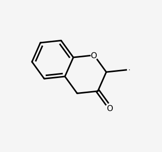 [CH2]C1Oc2ccccc2CC1=O